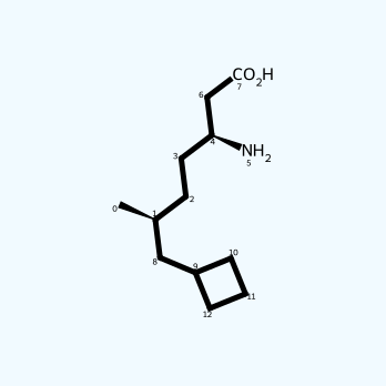 C[C@@H](CC[C@H](N)CC(=O)O)CC1CCC1